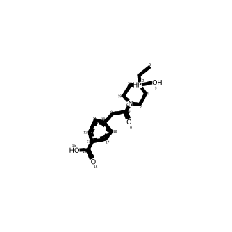 CC[PH]1(O)CCN(C(=O)Cc2ccc(C(=O)O)cc2)CC1